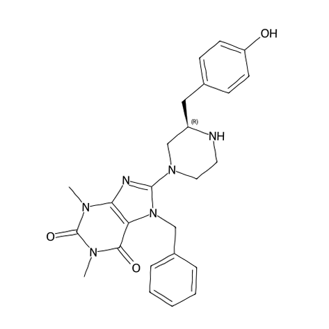 Cn1c(=O)c2c(nc(N3CCN[C@H](Cc4ccc(O)cc4)C3)n2Cc2ccccc2)n(C)c1=O